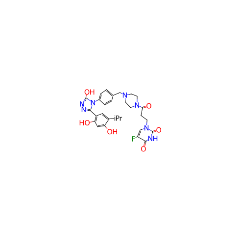 CC(C)c1cc(-c2nnc(O)n2-c2ccc(CN3CCN(C(=O)CCn4cc(F)c(=O)[nH]c4=O)CC3)cc2)c(O)cc1O